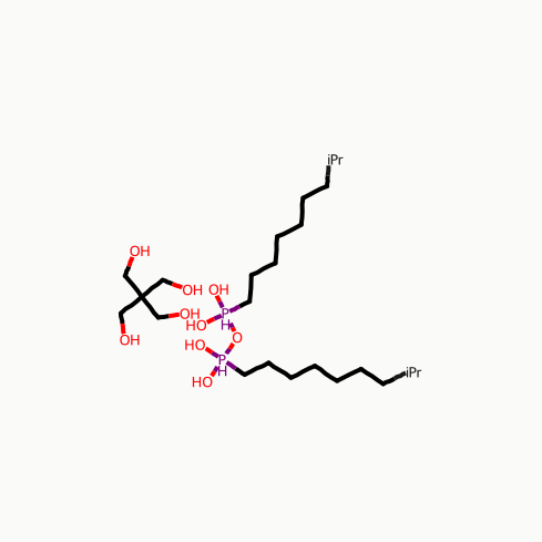 CC(C)CCCCCCC[PH](O)(O)O[PH](O)(O)CCCCCCCC(C)C.OCC(CO)(CO)CO